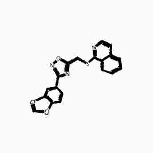 c1ccc2c(SCc3nc(-c4ccc5c(c4)OCO5)no3)nccc2c1